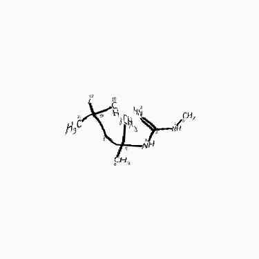 CNC(=N)NC(C)(C)CC(C)(C)I